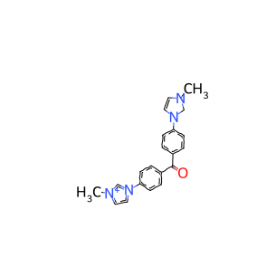 CN1C=CN(c2ccc(C(=O)c3ccc(-n4cc[n+](C)c4)cc3)cc2)C1